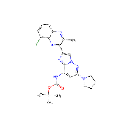 Cc1nc2cccc(F)c2nc1-c1cn2nc(N3CCCC3)cc(NC(=O)OC(C)(C)C)c2n1